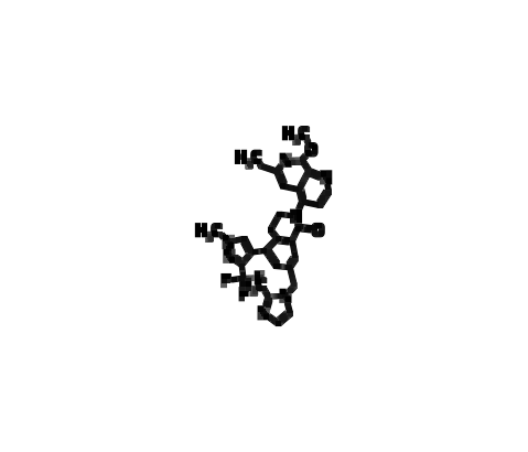 CCc1cc2c(N3CCc4c(cc(Cn5ccnc5C)cc4-c4cn(C)nc4C(F)(F)F)C3=O)ccnc2c(OC)n1